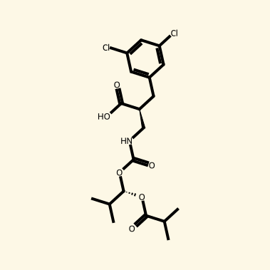 CC(C)C(=O)O[C@@H](OC(=O)NC[C@H](Cc1cc(Cl)cc(Cl)c1)C(=O)O)C(C)C